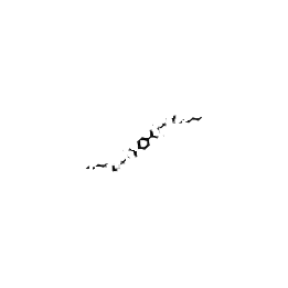 CCCCCC[C@H](OC(=O)c1ncc(-c2ccc(-c3cnc(C(=O)O[C@@H](CCCCCC)C(F)(F)F)nc3)cc2)cn1)C(F)(F)F